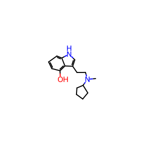 CN(CCc1c[nH]c2cccc(O)c12)C1CCCC1